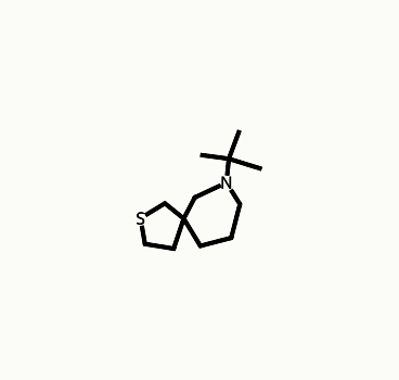 CC(C)(C)N1CCCC2(CCSC2)C1